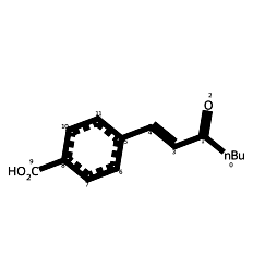 CCCCC(=O)C=Cc1ccc(C(=O)O)cc1